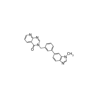 Cn1cnc2ccc(-c3cccc(Cn4cnc5ncccc5c4=O)c3)cc21